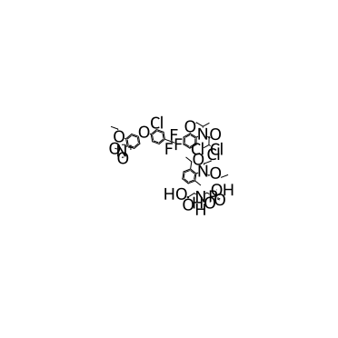 CC1COc2ccccc2N1C(=O)C(Cl)Cl.CCOCN(C(=O)CCl)c1c(C)cccc1CC.CCOc1cc(Oc2ccc(C(F)(F)F)cc2Cl)ccc1[N+](=O)[O-].O=C(O)CNCP(=O)(O)O